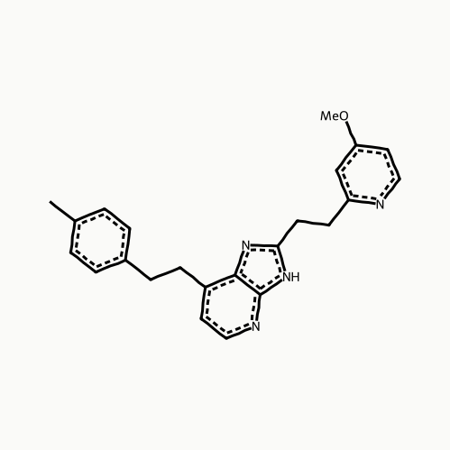 COc1ccnc(CCc2nc3c(CCc4ccc(C)cc4)ccnc3[nH]2)c1